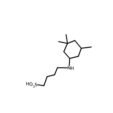 CC1CC(NCCCCS(=O)(=O)O)CC(C)(C)C1